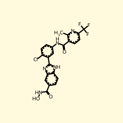 Cc1nc(C(F)(F)F)ccc1C(=O)Nc1ccc(Cl)c(-c2nc3cc(C(=O)NO)ccc3[nH]2)c1